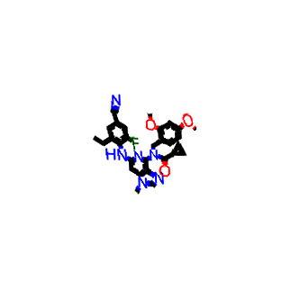 CCc1cc(C#N)cc(F)c1Nc1cc2c(ncn2C)c(N(Cc2ccc(OC)cc2OC)C(=O)C2CC2)n1